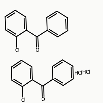 Cl.Cl.O=C(c1ccccc1)c1ccccc1Cl.O=C(c1ccccc1)c1ccccc1Cl